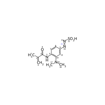 C=C(C)C(=O)Nc1ccc(/N=N/S(=O)(=O)O)cc1N(C)C